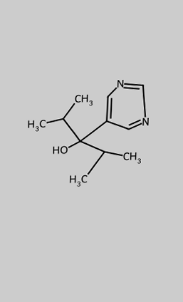 CC(C)C(O)(c1cncnc1)C(C)C